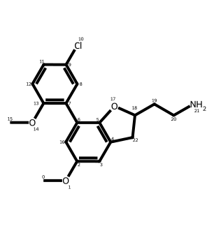 COc1cc2c(c(-c3cc(Cl)ccc3OC)c1)OC(CCN)C2